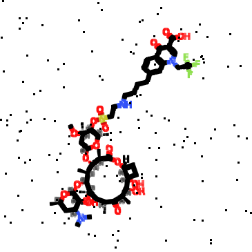 CO[C@]1(C)C[C@@H](C)C(=O)[C@H](C)[C@@H](O)[C@@]2(O)CC[C@H]2OC(=O)[C@H](C)[C@@H](O[C@H]2C[C@@](C)(OC)[C@@H](OS(=O)(=O)CCNCCCCc3ccc4c(=O)c(C(=O)O)cn(CC(F)(F)F)c4c3)[C@H](C)O2)[C@H](C)[C@H]1O[C@@H]1O[C@H](C)C[C@H](N(C)C)[C@H]1O